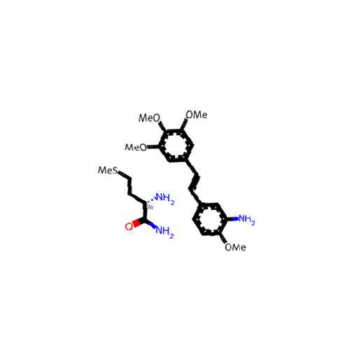 COc1ccc(C=Cc2cc(OC)c(OC)c(OC)c2)cc1N.CSCC[C@H](N)C(N)=O